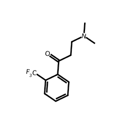 CN(C)CCC(=O)c1ccccc1C(F)(F)F